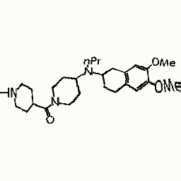 CCCN(C1CCN(C(=O)C2CCNCC2)CC1)[C@@H]1CCc2cc(OC)c(OC)cc2C1